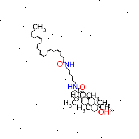 CC/C=C\C/C=C\C/C=C\C/C=C\C/C=C\C/C=C\CCC(=O)NCCCCCCNC(=O)[C@]12CCC[C@H](C)C1C1=CCC3[C@@]4(C)CC[C@H](O)C(C)(C)C4CC[C@@]3(C)[C@]1(C)CC2